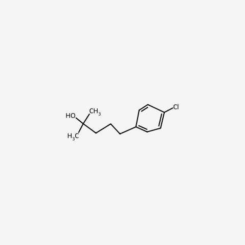 CC(C)(O)CCCc1ccc(Cl)cc1